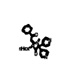 CCCCCCN1C(=O)C(c2ccncc2)(c2ccncc2)N(C)C1=CC(=O)c1ccccc1